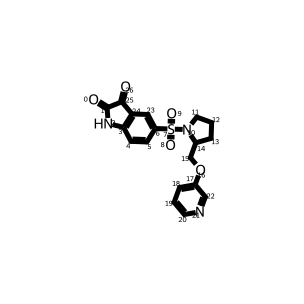 O=C1Nc2ccc(S(=O)(=O)N3CCCC3COc3cccnc3)cc2C1=O